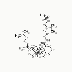 CC(C)CCC[C@@H](C)[C@H]1CC[C@H]2[C@@H]3CCC4CCCC(C(=O)NCCCC(CCS(=O)(=O)O)N(C)C)[C@]4(C)[C@H]3CC[C@]12C